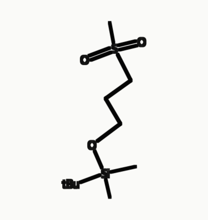 CC(C)(C)[Si](C)(C)OCCCS(C)(=O)=O